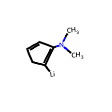 [Li][C]1=C(N(C)C)C=CC1